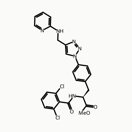 COC(=O)[C@H](Cc1ccc(-n2cc(CNc3ccccn3)nn2)cc1)NC(=O)c1c(Cl)cccc1Cl